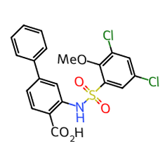 COc1c(Cl)cc(Cl)cc1S(=O)(=O)Nc1cc(-c2ccccc2)ccc1C(=O)O